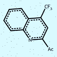 CC(=O)c1cc(C(F)(F)F)c2ccccc2n1